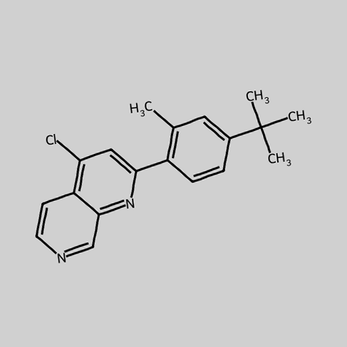 Cc1cc(C(C)(C)C)ccc1-c1cc(Cl)c2ccncc2n1